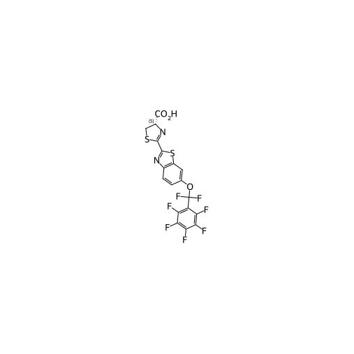 O=C(O)[C@H]1CSC(c2nc3ccc(OC(F)(F)c4c(F)c(F)c(F)c(F)c4F)cc3s2)=N1